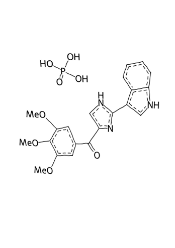 COc1cc(C(=O)c2c[nH]c(-c3c[nH]c4ccccc34)n2)cc(OC)c1OC.O=P(O)(O)O